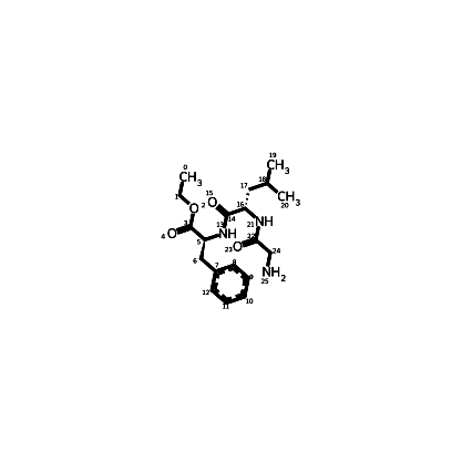 CCOC(=O)[C@H](Cc1ccccc1)NC(=O)[C@H](CC(C)C)NC(=O)CN